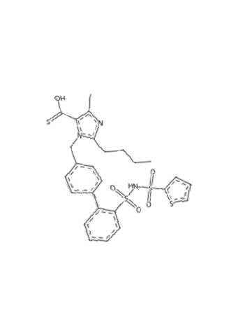 CCCCc1nc(C)c(C(O)=S)n1Cc1ccc(-c2ccccc2S(=O)(=O)NS(=O)(=O)c2cccs2)cc1